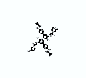 CC1CN(C(=O)CNc2cc(-c3cnc(NC(=O)C4CC4)cn3)cnc2C#N)CCO1.N#Cc1ncc(-c2cnc(NC(=O)C3CC3)cn2)cc1NCC(=O)N1CCC(C#N)C1